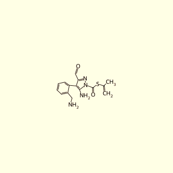 C=C(C)SC(=O)n1nc(C=O)c(-c2ccccc2CN)c1N